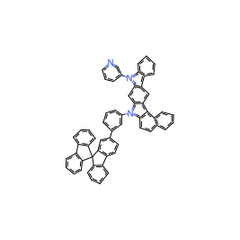 c1cncc(-n2c3ccccc3c3cc4c5c6ccccc6ccc5n(-c5cccc(-c6ccc7c(c6)C6(c8ccccc8-c8ccccc86)c6ccccc6-7)c5)c4cc32)c1